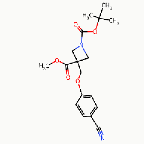 COC(=O)C1(COc2ccc(C#N)cc2)CN(C(=O)OC(C)(C)C)C1